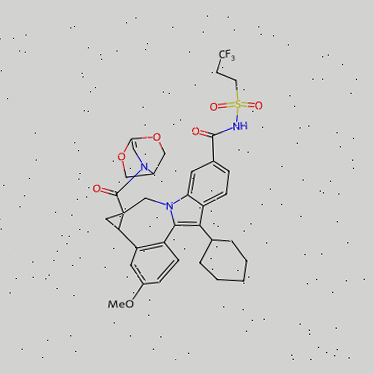 COc1ccc2c(c1)C1CC1(C(=O)N1C=C3OCC1CO3)Cn1c-2c(C2CCCCC2)c2ccc(C(=O)NS(=O)(=O)CCC(F)(F)F)cc21